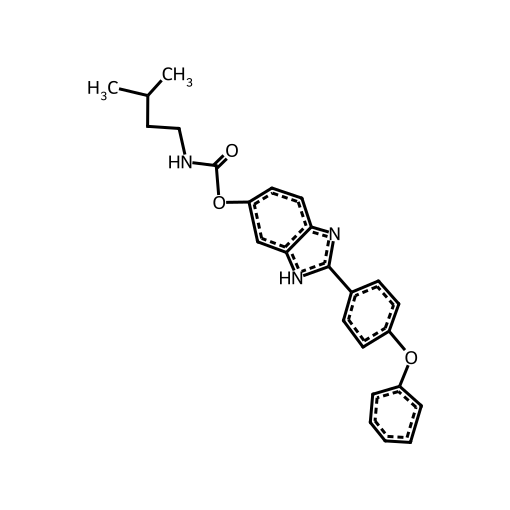 CC(C)CCNC(=O)Oc1ccc2nc(-c3ccc(Oc4ccccc4)cc3)[nH]c2c1